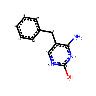 Nc1nc(O)ncc1Cc1ccccc1